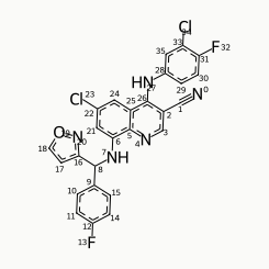 N#Cc1cnc2c(NC(c3ccc(F)cc3)c3ccon3)cc(Cl)cc2c1Nc1ccc(F)c(Cl)c1